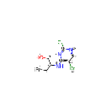 CC(C)CC(CO)Nc1nc(Cl)ncc1Br